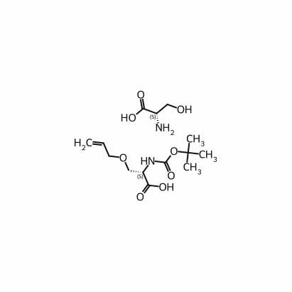 C=CCOC[C@H](NC(=O)OC(C)(C)C)C(=O)O.N[C@@H](CO)C(=O)O